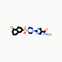 O=C(NO)c1cnc(N2CCN(S(=O)(=O)c3ccc4c(Cl)cccc4c3)CC2)nc1